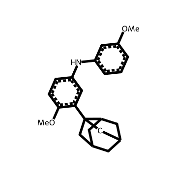 COc1cccc(Nc2ccc(OC)c(C34CC5CC(CC3C5)C4)c2)c1